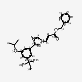 CC(C)Oc1cc(-c2ncn(/C=C/C(=O)OCc3ccccn3)n2)cc(C(F)(F)F)c1